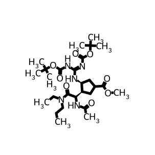 CCCN(CC)C(=O)C(NC(C)=O)[C@@H]1CC(C(=O)OC)C[C@@H]1NC(=NC(=O)OC(C)(C)C)NC(=O)OC(C)(C)C